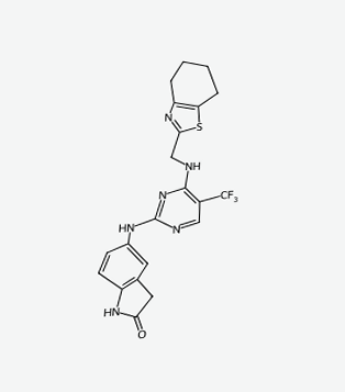 O=C1Cc2cc(Nc3ncc(C(F)(F)F)c(NCc4nc5c(s4)CCCC5)n3)ccc2N1